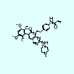 C=CC(=O)Nc1ccc(CCn2c(=O)c(-c3c(Cl)c(OC)cc(OC)c3Cl)cc3cnc(NN4CCN(C)CC4)nc32)cc1